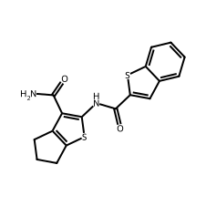 NC(=O)c1c(NC(=O)c2cc3ccccc3s2)sc2c1CCC2